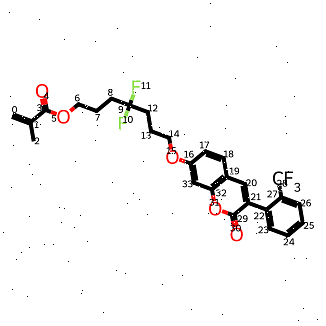 C=C(C)C(=O)OCCCC(F)(F)CCCOc1ccc2cc(-c3ccccc3C(F)(F)F)c(=O)oc2c1